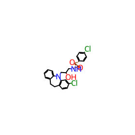 O=S(=O)(NCC(O)CN1c2ccccc2CCc2ccc(Cl)cc21)c1ccc(Cl)cc1